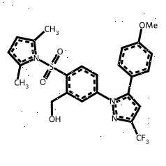 COc1ccc(-c2cc(C(F)(F)F)nn2-c2ccc(S(=O)(=O)n3c(C)ccc3C)c(CO)c2)cc1